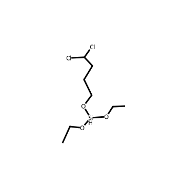 CCO[SiH](OCC)OCCCC(Cl)Cl